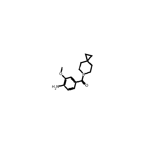 COc1cc(C(=O)N2CCC3(CC2)CC3)ccc1N